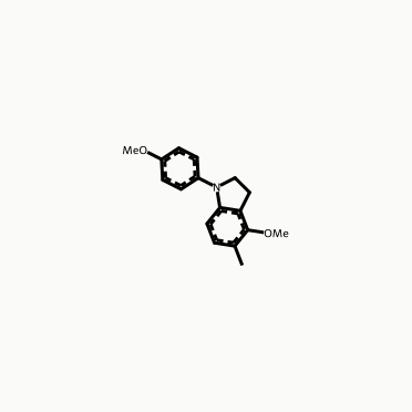 COc1ccc(N2CCc3c2ccc(C)c3OC)cc1